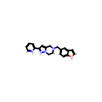 c1ccc(-c2cc3n(n2)CCN(Cc2ccc4occc4c2)C3)nc1